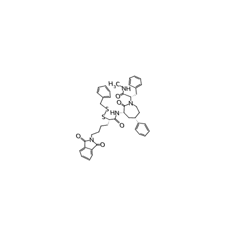 CNC(=O)[C@H](Cc1ccccc1)N1CC[C@H](c2ccccc2)C[C@H](NC(=O)[C@H](CCCCN2C(=O)c3ccccc3C2=O)SSCc2ccccc2)C1=O